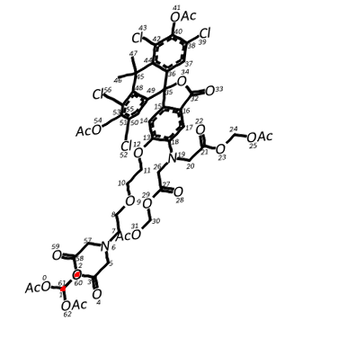 CC(=O)OCOC(=O)CN(CCOCCOc1cc2c(cc1N(CC(=O)OCOC(C)=O)CC(=O)OCOC(C)=O)C(=O)OC21c2cc(Cl)c(OC(C)=O)c(Cl)c2C(C)(C)c2c1cc(Cl)c(OC(C)=O)c2Cl)CC(=O)OCOC(C)=O